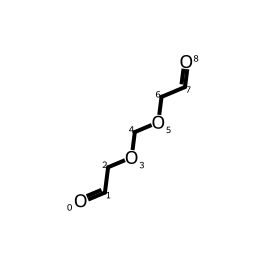 O=CCOCOCC=O